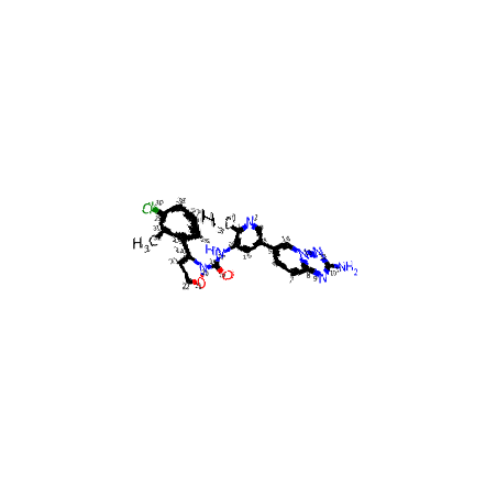 Cc1ncc(-c2ccc3nc(N)nn3c2)cc1NC(=O)N1OCCC1c1cccc(Cl)c1C